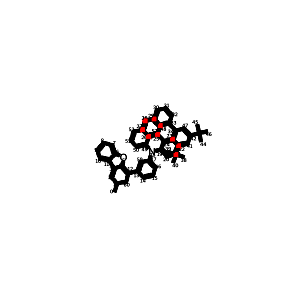 CC1C=c2c(oc3ccccc23)=C(c2cccc(N(c3ccccc3-c3cccc4cccc(-c5cc(C(C)(C)C)cc(C(C)(C)C)c5)c34)c3cccc4ccccc34)c2)C1